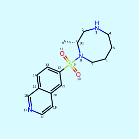 C[C@@H]1CNCCCCN1S(=O)(=O)c1ccc2cnccc2c1